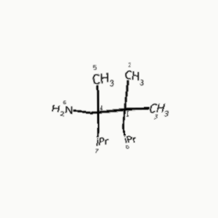 CC(C)C(C)(C)C(C)(N)C(C)C